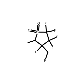 O=S1(=O)C(F)C(F)(CF)C(F)(F)C1(F)F